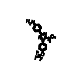 CON(C)c1nc(-c2ccc(N)cc2)nn1-c1ccc(OC(F)(F)F)cc1